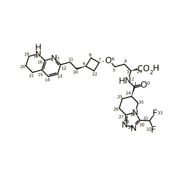 O=C(N[C@@H](CCO[C@H]1C[C@H](CCc2ccc3c(n2)NCCC3)C1)C(=O)O)[C@@H]1CCc2nnc(C(F)F)n2C1